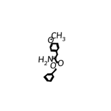 COc1ccc(C[C@@H](N)C(=O)OCc2ccccc2)cc1